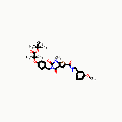 COc1cccc(CNC(=O)c2cc3c(=O)n(Cc4ccc(OC(C)(C)C(=O)OC(C)(C)C)cc4)c(=O)n(C)c3s2)c1